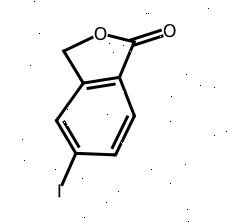 O=C1OCc2cc(I)ccc21